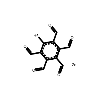 O=Cc1c(S)c(C=O)c(C=O)c(C=O)c1C=O.[Zn]